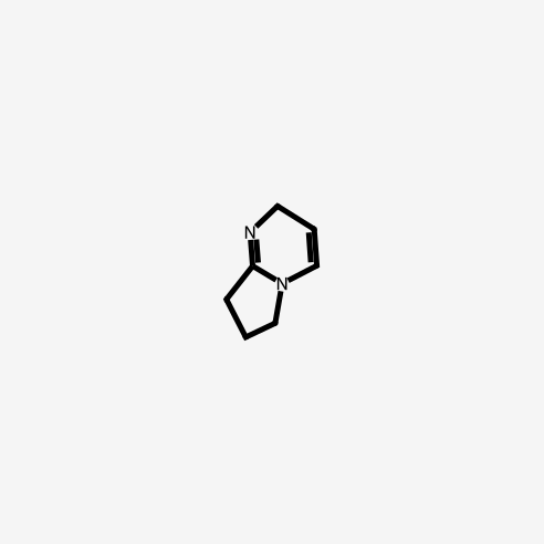 C1=CN2CCCC2=NC1